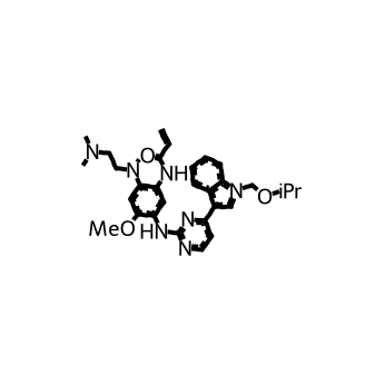 C=CC(=O)Nc1cc(Nc2nccc(-c3cn(COC(C)C)c4ccccc34)n2)c(OC)cc1N(C)CCN(C)C